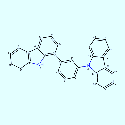 C1=Cc2c([nH]c3c(-c4cccc(-n5c6ccccc6c6ccccc65)c4)cccc23)CC1